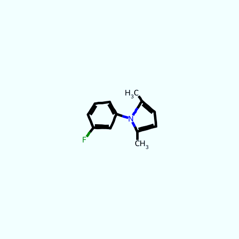 Cc1ccc(C)n1-c1cccc(F)c1